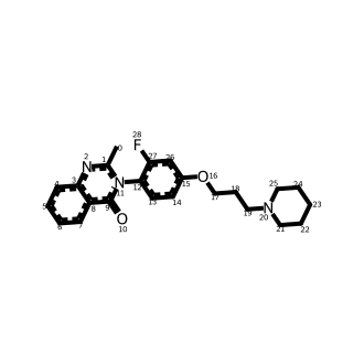 Cc1nc2ccccc2c(=O)n1-c1ccc(OCCCN2CCCCC2)cc1F